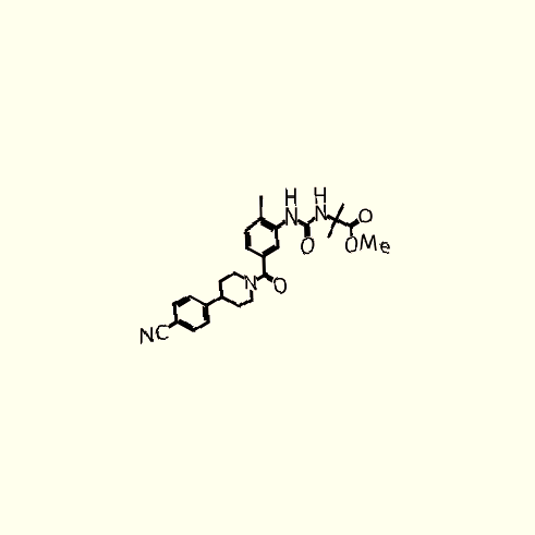 COC(=O)C(C)(C)NC(=O)Nc1cc(C(=O)N2CCC(c3ccc(C#N)cc3)CC2)ccc1C